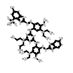 CCN(CC)c1cc(Nc2nc(Nc3cc(N(CC)CC)c(OC)cc3/N=N/c3nc4c(S(=O)(=O)O)cc(Cl)cc4s3)nc(N(CCO)CCO)n2)c(/N=N/c2nc3ccc(Cl)cc3s2)cc1OC